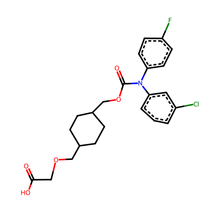 O=C(O)COCC1CCC(COC(=O)N(c2ccc(F)cc2)c2cccc(Cl)c2)CC1